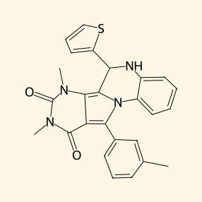 Cc1cccc(-c2c3c(=O)n(C)c(=O)n(C)c3c3n2-c2ccccc2NC3c2cccs2)c1